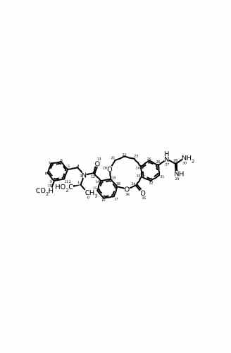 C[C@@H](C(=O)O)N(Cc1cccc(C(=O)O)c1)C(=O)c1cccc2c1OCCCc1cc(NC(=N)N)ccc1C(=O)O2